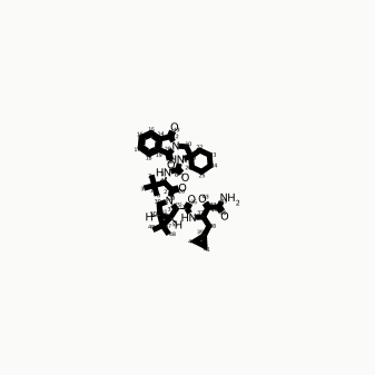 CC(C)(C)[C@H](NC(=O)NC1(CN2C(=O)c3ccccc3C2=O)CCCCC1)C(=O)N1C[C@H]2[C@@H]([C@H]1C(=O)NC(CC1CC1)C(=O)C(N)=O)C2(C)C